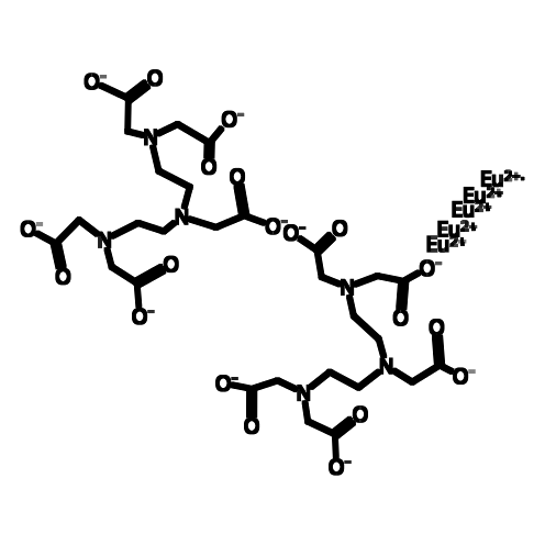 O=C([O-])CN(CCN(CC(=O)[O-])CC(=O)[O-])CCN(CC(=O)[O-])CC(=O)[O-].O=C([O-])CN(CCN(CC(=O)[O-])CC(=O)[O-])CCN(CC(=O)[O-])CC(=O)[O-].[Eu+2].[Eu+2].[Eu+2].[Eu+2].[Eu+2]